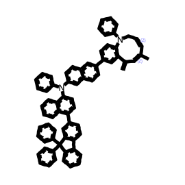 C=C1/C=C(C)\C=C/CN(c2ccccc2)c2ccc(-c3ccc4cc(N(c5ccccc5)c5ccc(-c6ccc7c(c6)C(c6ccccc6)(c6ccccc6)c6ccccc6-7)c6ccccc56)ccc4c3)cc21